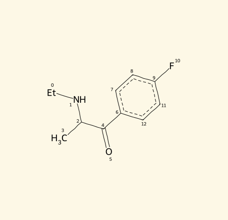 CCNC(C)C(=O)c1ccc(F)cc1